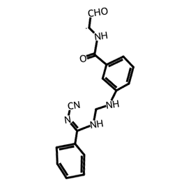 N#CN=C(NCNc1cccc(C(=O)N[CH]C=O)c1)c1ccccc1